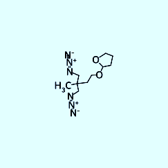 CC(CCOC1CCCO1)(CN=[N+]=[N-])CN=[N+]=[N-]